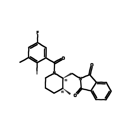 Cc1cc(F)cc(C(=O)N2CCC[C@@H](C)[C@H]2CN2C(=O)c3ccccc3C2=O)c1I